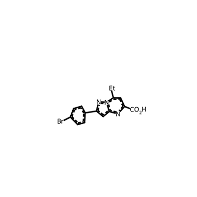 CCc1cc(C(=O)O)nc2cc(-c3ccc(Br)cc3)nn12